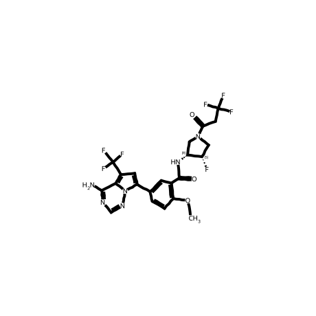 COc1ccc(-c2cc(C(F)(F)F)c3c(N)ncnn23)cc1C(=O)N[C@@H]1CN(C(=O)CC(F)(F)F)C[C@@H]1F